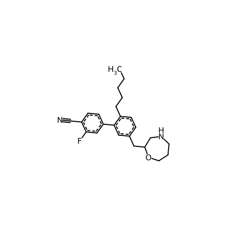 CCCCCc1ccc(CC2CNCCCO2)cc1-c1ccc(C#N)c(F)c1